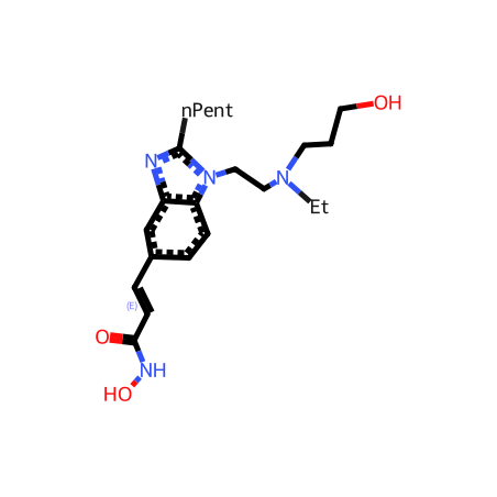 CCCCCc1nc2cc(/C=C/C(=O)NO)ccc2n1CCN(CC)CCCO